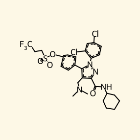 CN(C)Cc1c(C(=O)NC2CCCCC2)nn(-c2ccc(Cl)cc2Cl)c1-c1ccc(OS(=O)(=O)CCC(F)(F)F)cc1